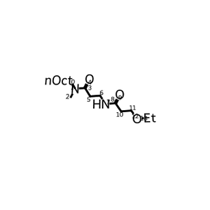 CCCCCCCCN(C)C(=O)CCNC(=O)CCOCC